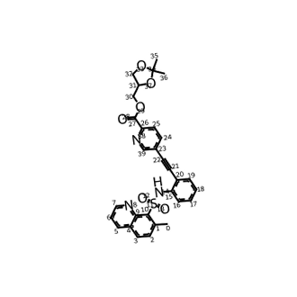 Cc1ccc2cccnc2c1S(=O)(=O)Nc1ccccc1C#Cc1ccc(C(=O)OCC2COC(C)(C)O2)nc1